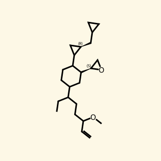 C=CC(CCC(CC)C1CCC(C2C[C@H]2CC2CC2)C([C@H]2CO2)C1)OC